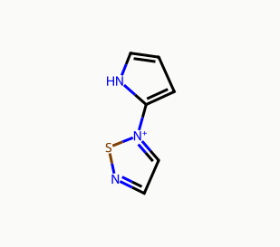 c1c[nH]c(-[n+]2ccns2)c1